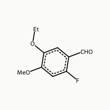 CCOc1cc(C=O)c(F)cc1OC